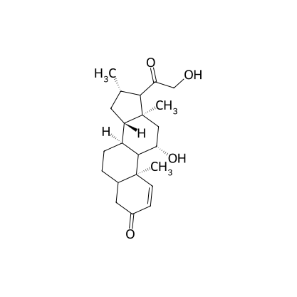 C[C@H]1C[C@H]2[C@@H]3CCC4CC(=O)C=C[C@]4(C)C3[C@@H](O)C[C@]2(C)C1C(=O)CO